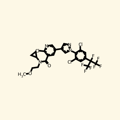 COCCN(C(=O)c1cc(-c2cnn(-c3c(Cl)cc(C(F)(C(F)(F)F)C(F)(F)F)cc3Cl)c2)cnc1Cl)C1CC1